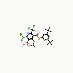 COC(=O)c1c(C(F)F)nc(C(F)(F)F)c(C(=O)Sc2cc(C(C)(C)C)cc(C(C)(C)C)c2)c1CC(C)C